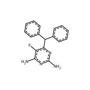 Nc1nc(N)c(F)c(C(c2ccccc2)c2ccccc2)n1